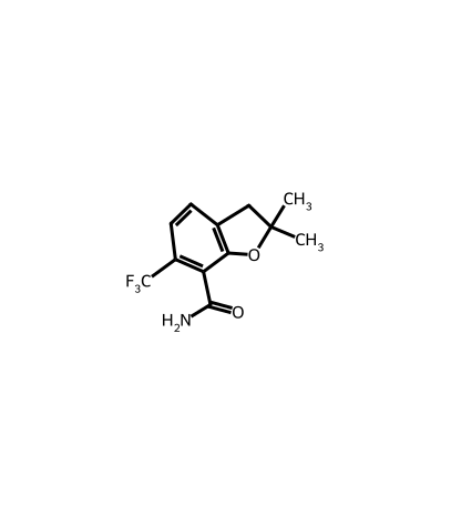 CC1(C)Cc2ccc(C(F)(F)F)c(C(N)=O)c2O1